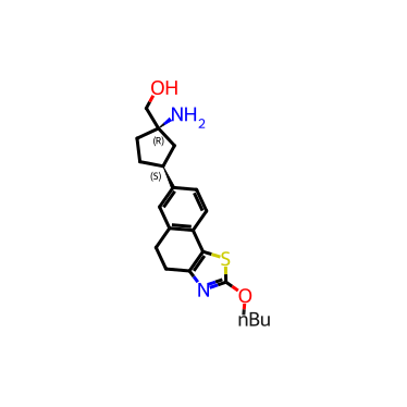 CCCCOc1nc2c(s1)-c1ccc([C@H]3CC[C@](N)(CO)C3)cc1CC2